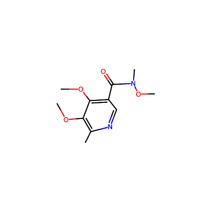 COc1c(C(=O)N(C)OC)cnc(C)c1OC